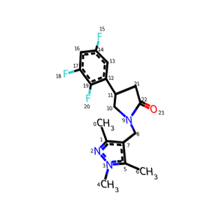 Cc1nn(C)c(C)c1CN1CC(c2cc(F)cc(F)c2F)CC1=O